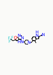 Cc1c(CN2CCC(Nc3ncnc4oc(CC(F)(F)F)cc34)CC2)ccc2[nH]c(C#N)cc12